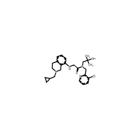 CC(C)(O)CN(Cc1ncccc1Cl)C(=O)CNc1cccc2c1CN(CC1CC1)CC2